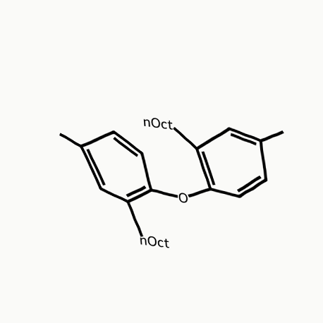 CCCCCCCCc1cc(C)ccc1Oc1ccc(C)cc1CCCCCCCC